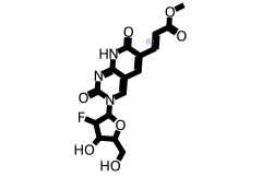 COC(=O)/C=C/c1cc2cn(C3OC(CO)C(O)C3F)c(=O)nc2[nH]c1=O